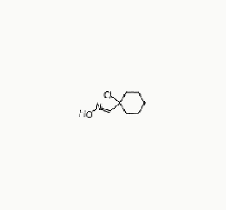 ON=CC1(Cl)CCCCC1